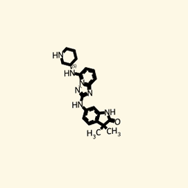 CC1(C)C(=O)Nc2cc(Nc3nc4cccc(N[C@H]5CCCNC5)n4n3)ccc21